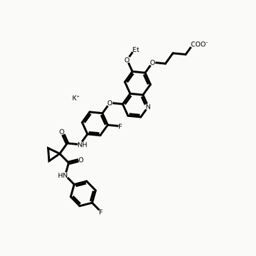 CCOc1cc2c(Oc3ccc(NC(=O)C4(C(=O)Nc5ccc(F)cc5)CC4)cc3F)ccnc2cc1OCCCC(=O)[O-].[K+]